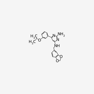 CC(C)Oc1cccc(-c2cc(NCc3ccc4c(c3)OCO4)nc(N)n2)c1